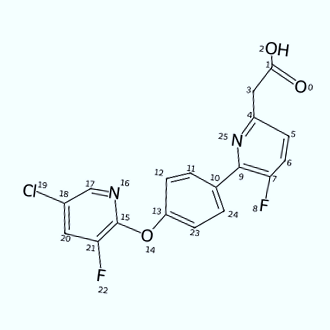 O=C(O)Cc1ccc(F)c(-c2ccc(Oc3ncc(Cl)cc3F)cc2)n1